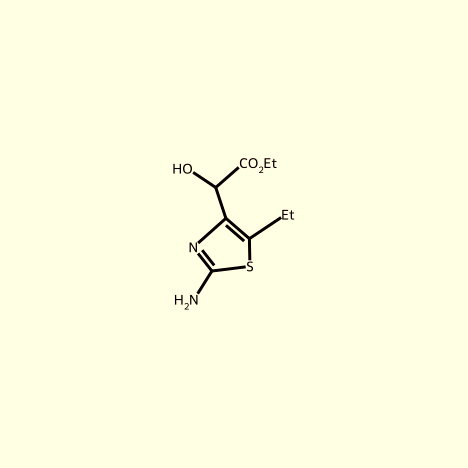 CCOC(=O)C(O)c1nc(N)sc1CC